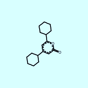 O=c1cc(C2CCCCC2)cc(C2CCCCC2)o1